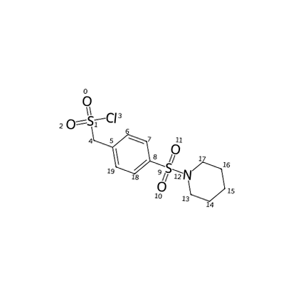 O=S(=O)(Cl)Cc1ccc(S(=O)(=O)N2CCCCC2)cc1